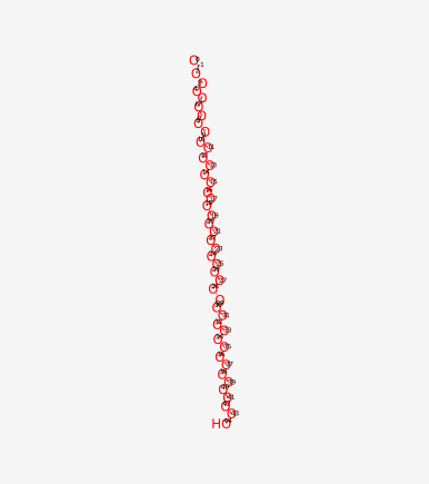 O=COOOOOOOOOOOOOOOOOOOOOOOOOOOOOOOOOOOOOOOOOOO